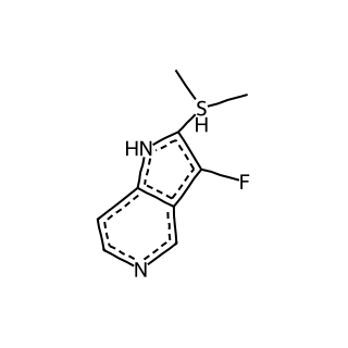 C[SH](C)c1[nH]c2ccncc2c1F